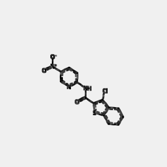 O=C(Nc1ccc([N+](=O)[O-])cn1)c1sc2ccccc2c1Cl